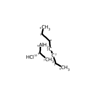 CCCCCCC.C[CH2][AlH2].Cl